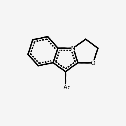 CC(=O)c1c2n(c3ccccc13)CCO2